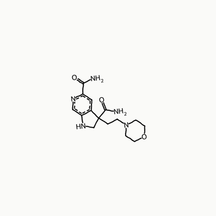 NC(=O)c1cc2c(cn1)NCC2(CCN1CCOCC1)C(N)=O